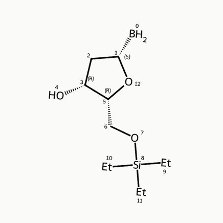 B[C@H]1C[C@@H](O)[C@@H](CO[Si](CC)(CC)CC)O1